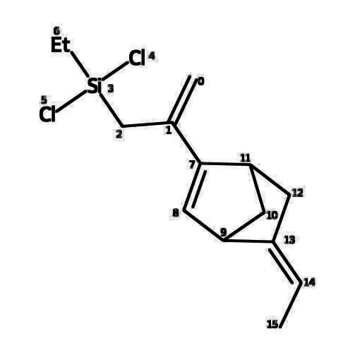 C=C(C[Si](Cl)(Cl)CC)C1=CC2CC1CC2=CC